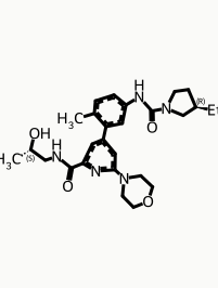 CC[C@@H]1CCN(C(=O)Nc2ccc(C)c(-c3cc(C(=O)NC[C@H](C)O)nc(N4CCOCC4)c3)c2)C1